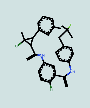 C=C(Nc1ccc(CC(C)(C)F)cc1)c1cc(NC(=C)C2C(c3cccc(C)c3)C2(C)Cl)ccc1Cl